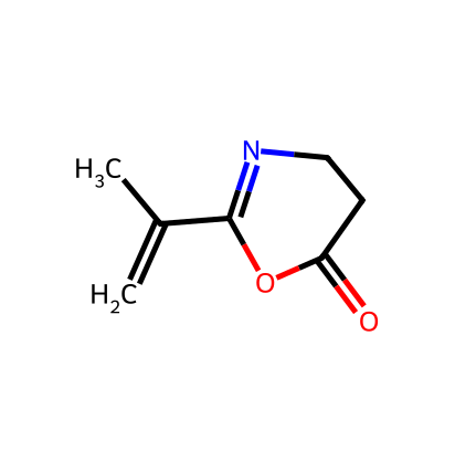 C=C(C)C1=NCCC(=O)O1